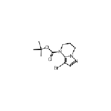 CC(C)(C)OC(=O)N1CCCn2ncc(Br)c21